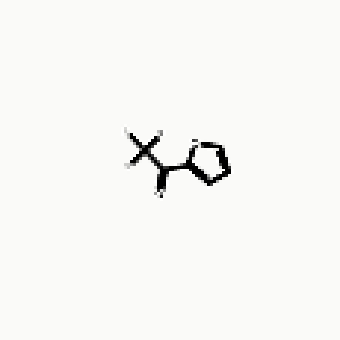 O=C(c1ccco1)C(F)(F)F